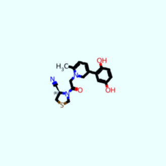 CC1=CC=C(c2cc(O)ccc2O)CN1CC(=O)N1CSC[C@H]1C#N